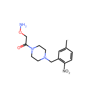 [CH2]c1ccc([N+](=O)[O-])c(CN2CCN(C(=O)CON)CC2)c1